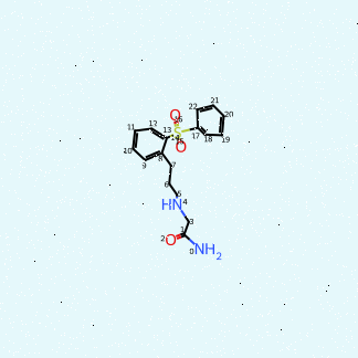 NC(=O)CNCCCc1ccccc1S(=O)(=O)c1ccccc1